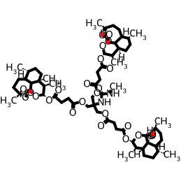 CNC(=O)NC(COC(=O)CCC(=O)O[C@@H]1O[C@@H]2O[C@@]3(C)CC[C@H]4[C@H](C)CC[C@@H]([C@H]1C)[C@@]24OO3)(COC(=O)CCC(=O)O[C@@H]1O[C@@H]2O[C@@]3(C)CC[C@H]4[C@H](C)CC[C@@H]([C@H]1C)[C@@]24OO3)COC(=O)CCC(=O)O[C@@H]1O[C@@H]2O[C@@]3(C)CC[C@H]4[C@H](C)CC[C@@](C)([C@H]1C)[C@@]24OO3